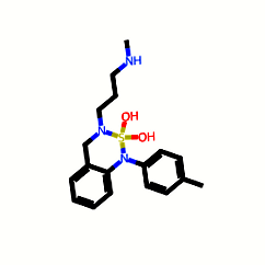 CNCCCN1Cc2ccccc2N(c2ccc(C)cc2)S1(O)O